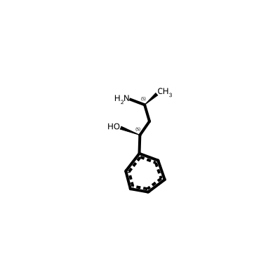 C[C@H](N)C[C@H](O)c1ccccc1